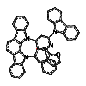 c1ccc(-c2cc(-n3c4ccccc4c4ccc5c6ccccc6n(-c6ccc7occc7c6)c5c43)cc(-n3c4ccccc4c4ccccc43)n2)cc1